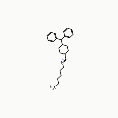 CCCCCC/N=C/N1CCC(C(c2ccccc2)c2ccccc2)CC1